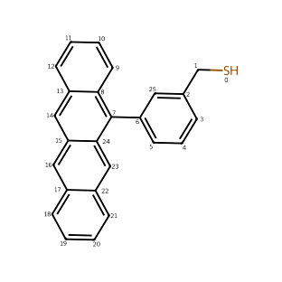 SCc1cccc(-c2c3ccccc3cc3cc4ccccc4cc23)c1